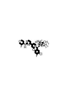 CC(C)(C)[Si](C)(C)OC[C@H](c1ccc(F)c(Cl)c1)n1ccc(-c2ccnc(N[C@H]3CCOC[C@H]3F)n2)cc1=O